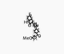 COC1CCN(C(=O)c2ccc(-n3cc(-c4cc5cc(F)ccc5[nH]c4=O)nn3)cc2)C1